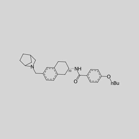 CCCCOc1ccc(C(=O)N[C@H]2CCc3cc(CN4CC5CCC4C5)ccc3C2)cc1